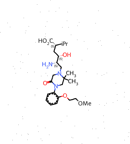 COCCOc1ccccc1N1CC(C)(C)N(C[C@H](N)[C@@H](O)C[C@H](C(=O)O)C(C)C)CC1=O